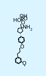 COc1cccc(CCCOc2ccc([C@@H]3CC[C@](N)(COP(=O)(O)O)C3)cc2)c1